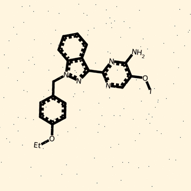 CCOc1ccc(Cn2nc(-c3ncc(OI)c(N)n3)c3ccccc32)cc1